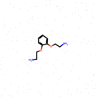 NCCOc1ccccc1OCCN